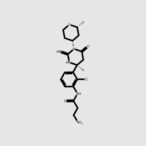 C[C@@H]1C[C@H](N2C(=N)N[C@](C)(c3cccc(NC(=O)CCN)c3Cl)CC2=O)CCO1